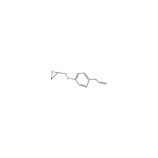 C=CCc1ccc(OCC2CO2)cc1